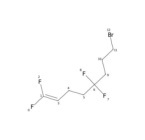 FC(F)=CCCC(F)(F)CCCBr